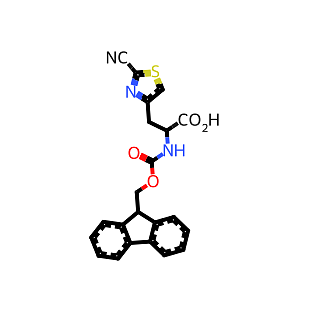 N#Cc1nc(CC(NC(=O)OCC2c3ccccc3-c3ccccc32)C(=O)O)cs1